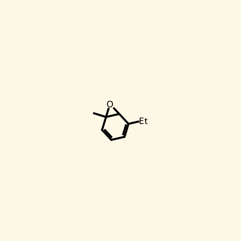 CCC1=CC=CC2(C)OC12